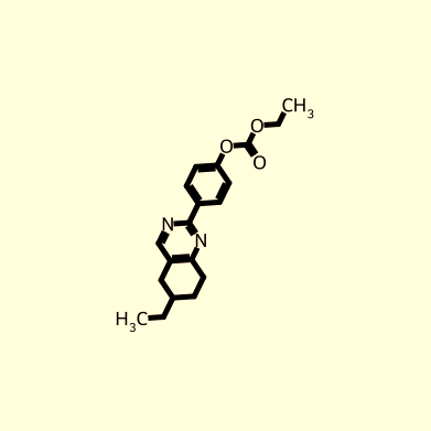 CCOC(=O)Oc1ccc(-c2ncc3c(n2)CCC(CC)C3)cc1